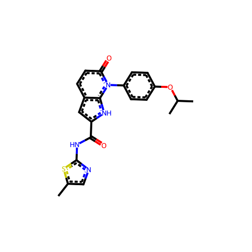 Cc1cnc(NC(=O)c2cc3ccc(=O)n(-c4ccc(OC(C)C)cc4)c3[nH]2)s1